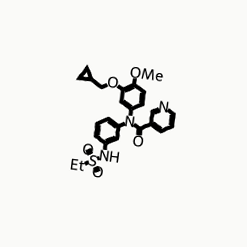 CCS(=O)(=O)Nc1cccc(N(C(=O)c2cccnc2)c2ccc(OC)c(OCC3CC3)c2)c1